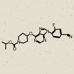 CC(C)OC(=O)N1CCC(Oc2ncnc3c2ncn3-c2ccc(C#N)cc2F)CC1